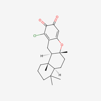 CC1(C)CCC[C@]2(C)[C@H]3CC4=C(Cl)C(=O)C(=O)C=C4O[C@]3(C)CC[C@@H]12